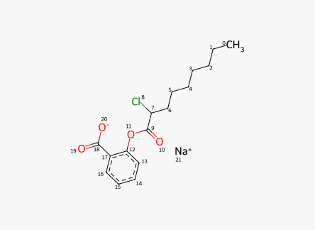 CCCCCCCC(Cl)C(=O)Oc1ccccc1C(=O)[O-].[Na+]